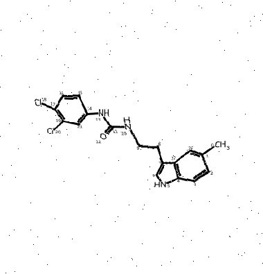 Cc1ccc2[nH]cc(CCNC(=O)Nc3ccc(Cl)c(Cl)c3)c2c1